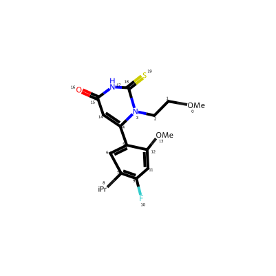 COCCn1c(-c2cc(C(C)C)c(F)cc2OC)cc(=O)[nH]c1=S